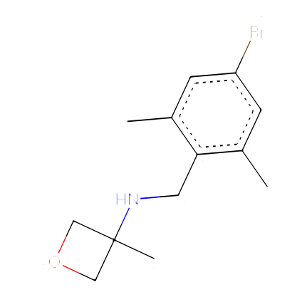 Cc1cc(Br)cc(C)c1CNC1(C)COC1